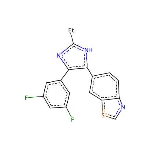 CCc1nc(-c2cc(F)cc(F)c2)c(-c2ccc3ncsc3c2)[nH]1